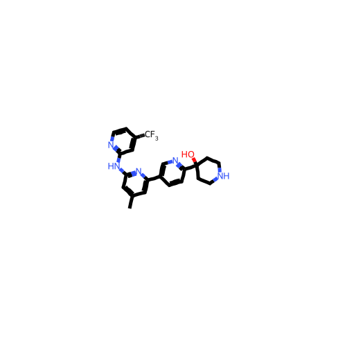 Cc1cc(Nc2cc(C(F)(F)F)ccn2)nc(-c2ccc(C3(O)CCNCC3)nc2)c1